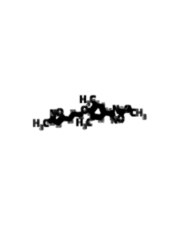 COc1nc(-c2cc(C)c(OCCCc3cc(C)no3)c(C)c2)no1